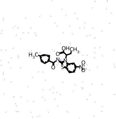 CCC(C(=O)O)n1/c(=N/C(=O)c2ccc(C)cc2)sc2ccc([N+](=O)[O-])cc21